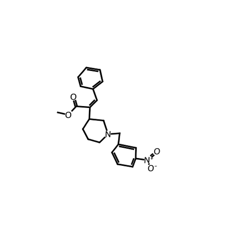 COC(=O)C(=Cc1ccccc1)C1CCCN(Cc2cccc([N+](=O)[O-])c2)C1